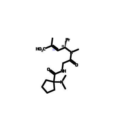 C/C(=C\[C@H](C(C)C)N(C)C(=O)CNC(=O)C1(N(C)C)CCCC1)C(=O)O